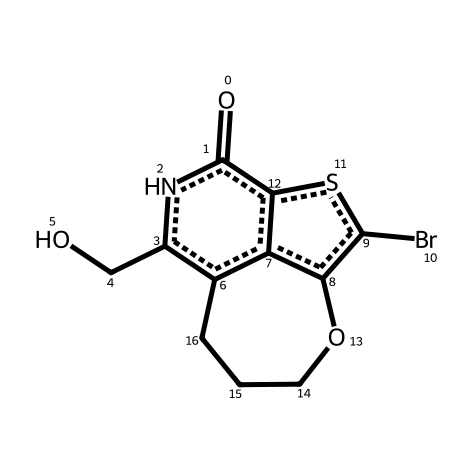 O=c1[nH]c(CO)c2c3c(c(Br)sc13)OCCC2